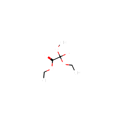 CCOC(=O)C([O])(OC)OCC